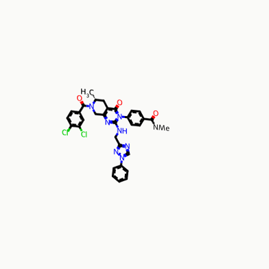 CNC(=O)c1ccc(-n2c(NCc3ncn(-c4ccccc4)n3)nc3c(c2=O)C[C@@H](C)N(C(=O)c2ccc(Cl)c(Cl)c2)C3)cc1